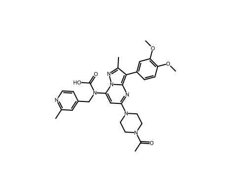 COc1ccc(-c2c(C)nn3c(N(Cc4ccnc(C)c4)C(=O)O)cc(N4CCN(C(C)=O)CC4)nc23)cc1OC